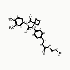 N#Cc1ccc(N2C(=O)C3(CCC3)N(c3ccc(CCC(=O)OCCO)cc3)C2=S)cc1C(F)(F)F